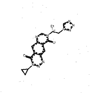 CC[C@H](Cn1cnnn1)n1cnc2cc3c(=O)n(C4CC4)nnc3cc2c1=O